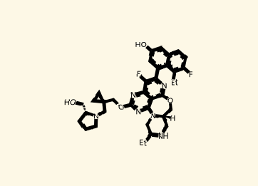 CCc1c(F)ccc2cc(O)cc(-c3nc4c5c(nc(OCC6(CN7CCC[C@@H]7CO)CC6)nc5c3F)N3CC(CC)NC[C@H]3CO4)c12